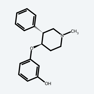 CN1CC[C@@H](Oc2cccc(O)c2)[C@H](c2ccccc2)C1